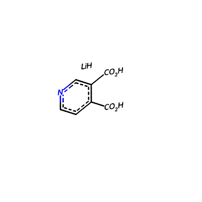 O=C(O)c1ccncc1C(=O)O.[LiH]